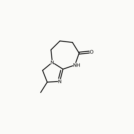 CC1CN2CCCC(=O)NC2=N1